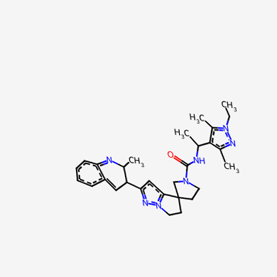 CCn1nc(C)c(C(C)NC(=O)N2CCC3(CCn4nc(C5C=c6ccccc6=NC5C)cc43)C2)c1C